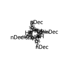 CCCCCCCCCCCCc1ccc(/C2=C3\C=CC(N3)/C(c3ccc(CCCCCCCCCCCC)cc3)=c3/cc/c([nH]3)=C(\c3ccc(CCCCCCCCCCCC)cc3)C3C=C/C(=C(\c4ccc(CCCCCCCCCCCC)cc4)c4ccc2[nH]4)N3)cc1